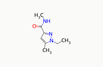 CCn1nc(C(=O)NC)cc1C